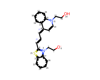 [O-]CC[n+]1c(/C=C/C=C2\C=CN(CCO)c3ccccc32)sc2ccccc21